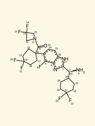 N[C@H](c1nc2c(F)c(C3(C(=O)N4CC(F)(F)C4)CCC(F)(F)CC3)ccc2[nH]1)C1CCC(F)(F)CC1